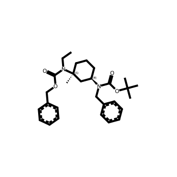 CCN(C(=O)OCc1ccccc1)[C@@]1(C)CCC[C@@H](N(Cc2ccccc2)C(=O)OC(C)(C)C)C1